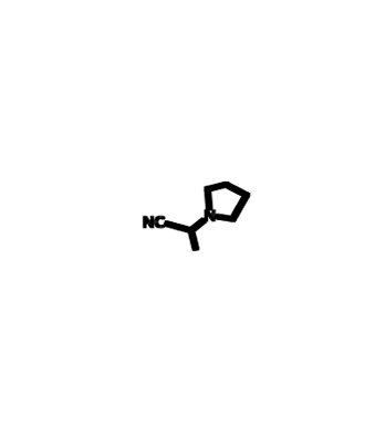 CC(C#N)N1CCCC1